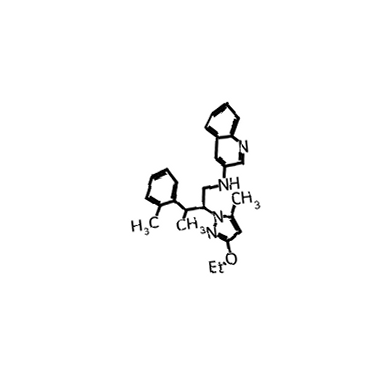 CCOc1cc(C)n(C(CNc2cnc3ccccc3c2)C(C)c2ccccc2C)n1